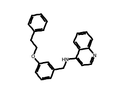 c1ccc(CCOc2cccc(CNc3ccnc4ccccc34)c2)cc1